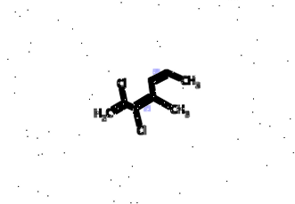 C=C(Cl)/C(Cl)=C(C)\C=C/C